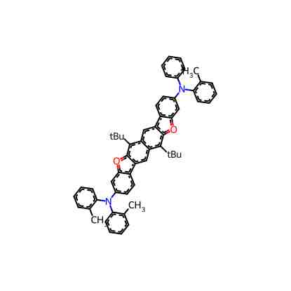 Cc1ccccc1N(c1ccccc1)c1ccc2c(c1)oc1c(C(C)(C)C)c3cc4c(oc5cc(N(c6ccccc6C)c6ccccc6C)ccc54)c(C(C)(C)C)c3cc12